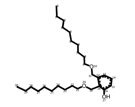 CCCCCCCCCCOCc1cccc(O)c1COCCCCCCCCCC